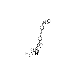 NC(=O)c1nccn1Cc1cc(-c2ccc(C#Cc3ccc(CN4CCOCC4)cc3)cc2)on1